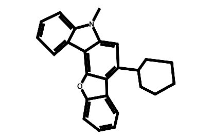 Cn1c2ccccc2c2c3oc4ccccc4c3c(C3CCCCC3)cc21